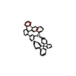 c1ccc(-c2ccccc2-c2c(-c3ccccc3)cccc2-c2cccc(N(c3ccccc3)c3ccc4c(c3)C3(c5ccccc5-c5ccccc53)c3ccccc3-4)c2)cc1